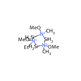 CC[N+]1(OC)[SiH2][N+](C)(OC)[SiH2][N+](C)(OC)[SiH2]1